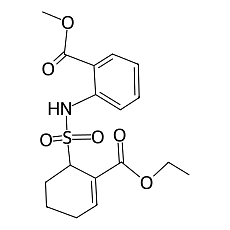 CCOC(=O)C1=CCCCC1S(=O)(=O)Nc1ccccc1C(=O)OC